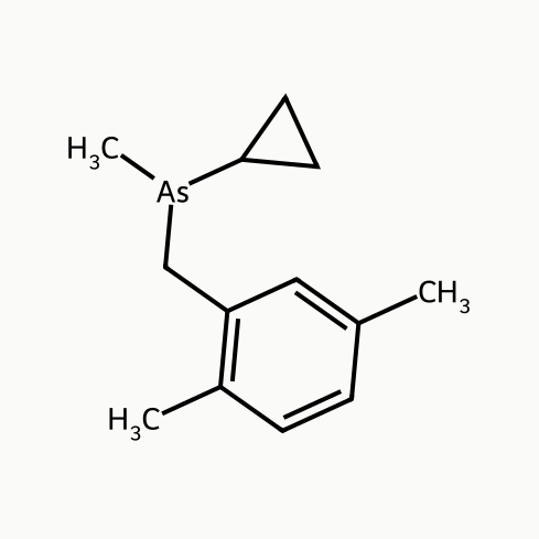 Cc1ccc(C)c(C[As](C)C2CC2)c1